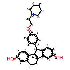 Oc1ccc2c(c1)CCC1=C2C(c2ccc(OCCN3CCCCC3)cc2)c2ccc(O)cc21